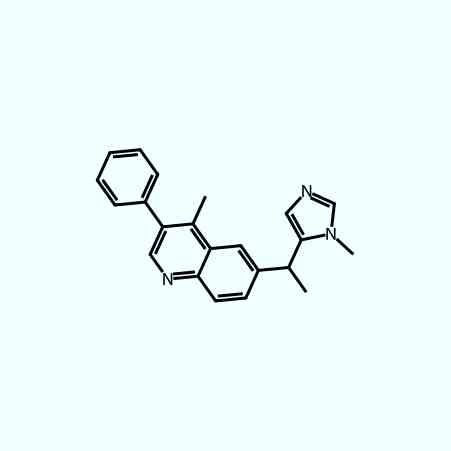 Cc1c(-c2ccccc2)cnc2ccc(C(C)c3cncn3C)cc12